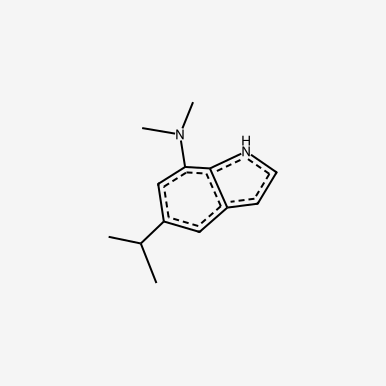 CC(C)c1cc(N(C)C)c2[nH]ccc2c1